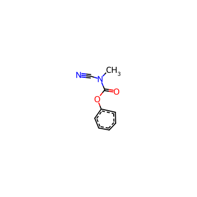 CN(C#N)C(=O)Oc1ccccc1